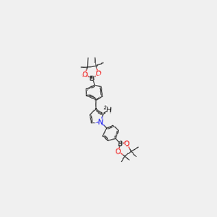 [2H]c1c(-c2ccc(B3OC(C)(C)C(C)(C)O3)cc2)ccn1-c1ccc(B2OC(C)(C)C(C)(C)O2)cc1